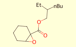 CCCCC(CC)COC(=O)C12CCCCC1O2